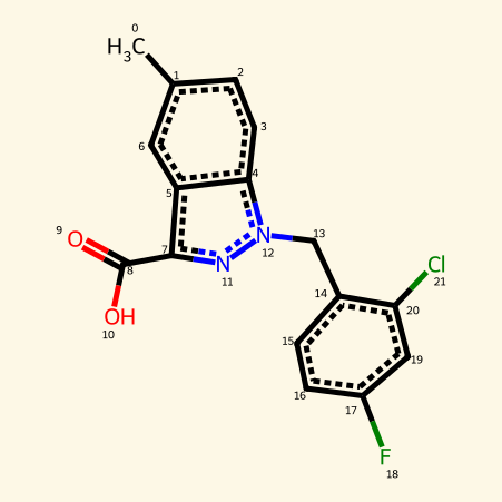 Cc1ccc2c(c1)c(C(=O)O)nn2Cc1ccc(F)cc1Cl